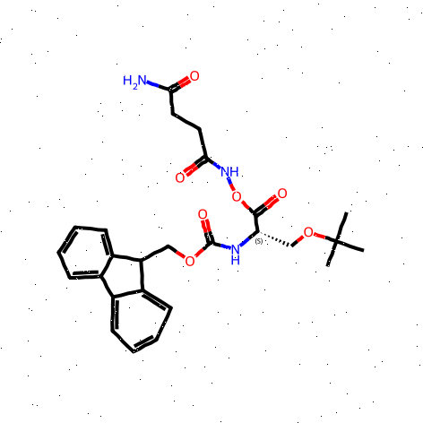 CC(C)(C)OC[C@H](NC(=O)OCC1c2ccccc2-c2ccccc21)C(=O)ONC(=O)CCC(N)=O